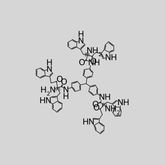 N[C@](Cc1c[nH]c2ccccc12)(C(=O)Cc1c[nH]c2ccccc12)C(=O)Nc1ccc(C(c2ccc(NC(=O)[C@@](N)(Cc3c[nH]c4ccccc34)C(=O)Cc3c[nH]c4ccccc34)cc2)c2ccc(NC(=O)[C@@](N)(Cc3c[nH]c4ccccc34)C(=O)Cc3c[nH]c4ccccc34)cc2)cc1